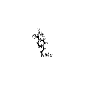 CNCCN1CCN(C(=O)N(C)C)CC1